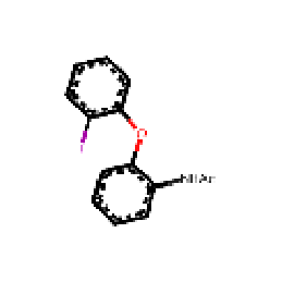 CC(=O)Nc1ccccc1Oc1ccccc1I